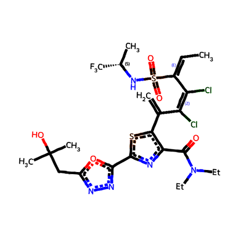 C=C(/C(Cl)=C(Cl)\C(=C/C)S(=O)(=O)N[C@@H](C)C(F)(F)F)c1sc(-c2nnc(CC(C)(C)O)o2)nc1C(=O)N(CC)CC